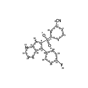 N#Cc1cccc(S(=O)(=O)c2sc3ncccc3c2-c2ccc(F)cc2)c1